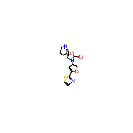 O=C1OC2(CN3CCC2CC3)CN1c1coc(-c2nccs2)c1